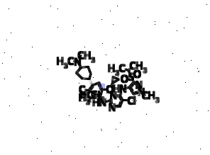 C=C(Nc1ncc(Cl)c(Nc2cn(C)nc2S(=O)(=O)C(C)C)n1)/C(=C\C(=C(C)C)[C@H]1CC[C@H](N(C)C)CC1)OC1CC1